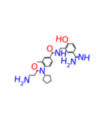 Cc1cc(C(=O)NCc2cc(C(=N)N)ccc2O)ccc1N(C(=O)CCN)C1CCCC1